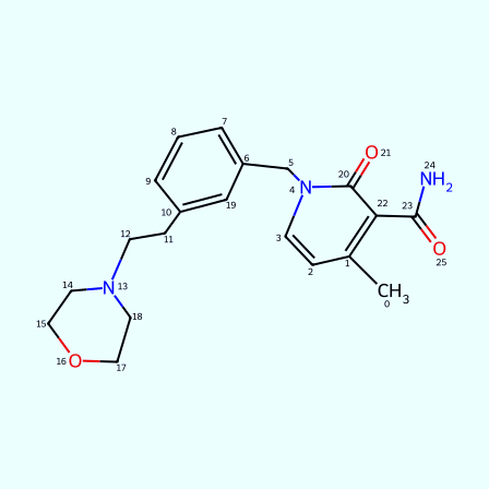 Cc1ccn(Cc2cccc(CCN3CCOCC3)c2)c(=O)c1C(N)=O